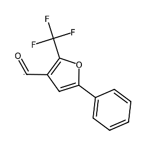 O=[C]c1cc(-c2ccccc2)oc1C(F)(F)F